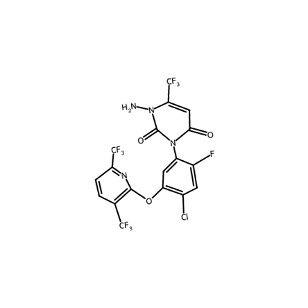 Nn1c(C(F)(F)F)cc(=O)n(-c2cc(Oc3nc(C(F)(F)F)ccc3C(F)(F)F)c(Cl)cc2F)c1=O